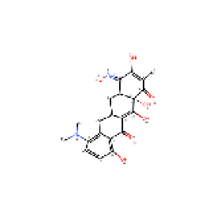 CC(=O)C1=C(O)/C(=N/O)C2CC3Cc4c(N(C)C)ccc(O)c4C(=O)C3=C(O)[C@]2(O)C1=O